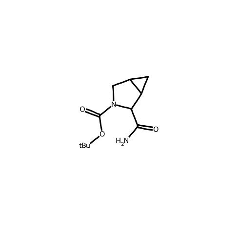 CC(C)(C)OC(=O)N1CC2CC2C1C(N)=O